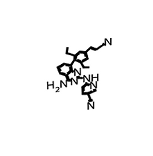 CCc1cc(C=CC#N)cc(CC)c1-c1cccc2c(N)nc(Nc3ccc(C#N)cn3)nc12